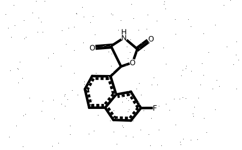 O=C1NC(=O)C(c2cccc3ccc(F)cc23)O1